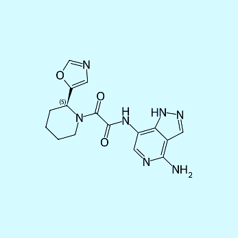 Nc1ncc(NC(=O)C(=O)N2CCCC[C@H]2c2cnco2)c2[nH]ncc12